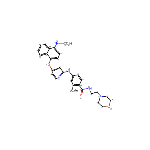 COc1cc(Nc2cc(Oc3ccc(NC(=O)O)c4ccccc34)ccn2)ccc1C(=O)NCCN1CCOCC1